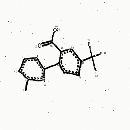 Cc1cccc(-c2ccc(C(F)(F)F)cc2C(=O)O)n1